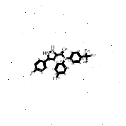 O=C(C1CC(c2ccc(F)cc2)NN1)N(c1ccc(Cl)cc1)c1ccc(C(F)(F)F)cc1